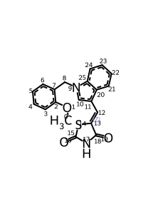 COc1ccccc1Cn1cc(/C=C2\SC(=O)NC2=O)c2ccccc21